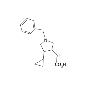 O=C(O)NC1CN(Cc2ccccc2)CC1C1CC1